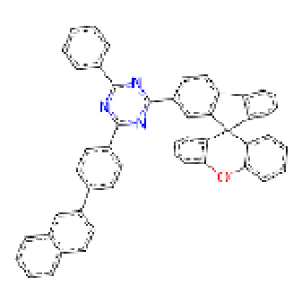 c1ccc(-c2nc(-c3ccc(-c4ccc5ccccc5c4)cc3)nc(-c3ccc4c(c3)C3(c5ccccc5Oc5ccccc53)c3ccccc3-4)n2)cc1